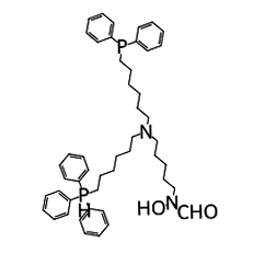 O=CN(O)CCCCCN(CCCCCCP(c1ccccc1)c1ccccc1)CCCCCC[PH](c1ccccc1)(c1ccccc1)c1ccccc1